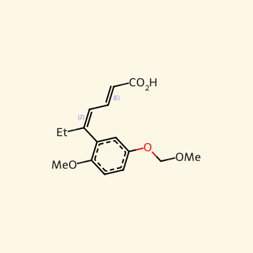 CC/C(=C/C=C/C(=O)O)c1cc(OCOC)ccc1OC